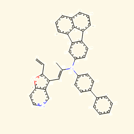 C=Cc1oc2ccncc2c1/C=C(\C)N(c1ccc(-c2ccccc2)cc1)c1ccc2c(c1)-c1cccc3cccc-2c13